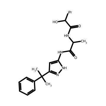 CC(NC(=O)C(O)C(C)C)C(=O)Nc1cc(C(C)(C)c2ccccc2)n[nH]1